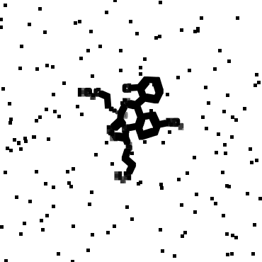 NCCSc1nnc2n1-c1ccc([N+](=O)[O-])cc1C(c1ccccc1Cl)=N[C@H]2CCC(=O)O